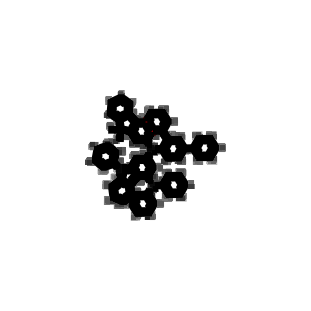 CC1(C)c2ccccc2-c2ccc(N(c3cc(N(c4ccccc4)c4ccccc4)c4c5ccccc5n(-c5ccccc5)c4c3)c3ccc(-c4ccccc4)cc3-c3ccccc3)cc21